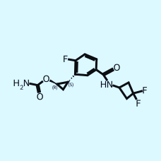 NC(=O)O[C@@H]1C[C@H]1c1cc(C(=O)NC2CC(F)(F)C2)ccc1F